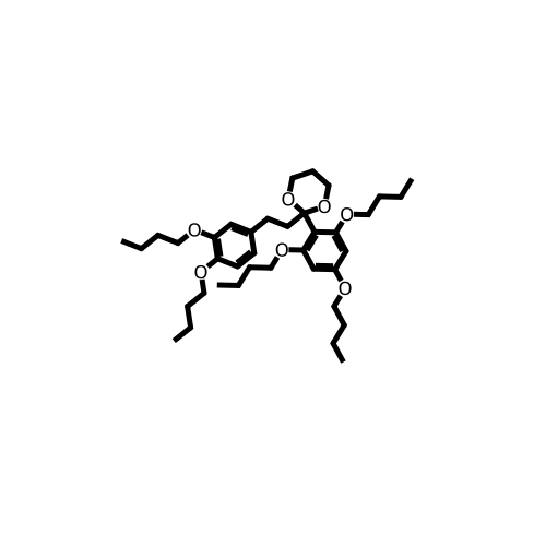 CCCCOc1cc(OCCCC)c(C2(CCc3ccc(OCCCC)c(OCCCC)c3)OCCCO2)c(OCCCC)c1